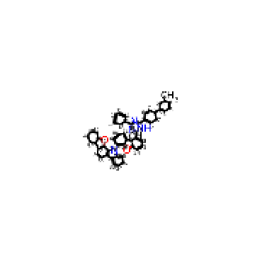 CC1C=CC=C(C2C=CC(C3N=C(C4C=CC=CC4)N=C(C4=CC=CC5Oc6c(-n7c8c(c9ccccc97)C=CC7C8OC8C=CCCC87)cccc6C45C)N3)=CC2)C1